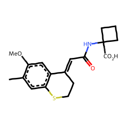 COc1cc2c(cc1C)SCC/C2=C\C(=O)NC1(C(=O)O)CCC1